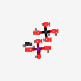 O=P(O)(O)O.O[Si](O)(O)O.[Mo]